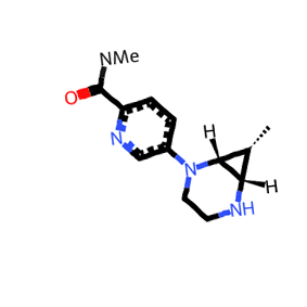 CNC(=O)c1ccc(N2CCN[C@H]3[C@@H](C)[C@H]32)cn1